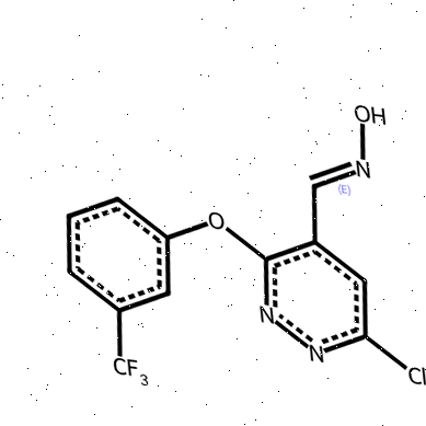 O/N=C/c1cc(Cl)nnc1Oc1cccc(C(F)(F)F)c1